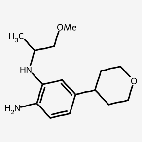 COCC(C)Nc1cc(C2CCOCC2)ccc1N